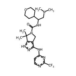 CN(C)CC(NC(=O)N1Cc2c(Nc3ccnc(C(F)(F)F)n3)n[nH]c2C1(C)C)C1CCOCC1